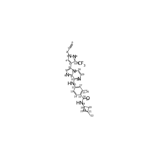 C#CCn1cc(-c2cnc3c(Nc4ccc(C(=O)NC56CC(C)(C5)C6)c(C)c4)nccn23)c(C(F)(F)F)n1